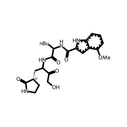 CCCCC(NC(=O)c1cc2c(OC)cccc2[nH]1)C(=O)NC(C[C@@H]1CCNC1=O)C(=O)CO